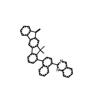 C=C1c2ccccc2-c2cc3c(cc21)C(C)(C)c1c-3cccc1-c1ccc(-c2ncc3ccccc3n2)c2ccccc12